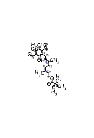 C/C(=C\COC(=O)C(C)(C)C)CC/C(C)=C/Cc1c(O)c(C=O)c(C)c(Cl)c1N=O